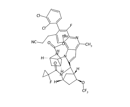 Cc1nc2c(F)c(-c3cccc(Cl)c3Cl)c(CCC#N)cc2c2c1cc([C@H]1[C@H]3C[C@H](C[C@@H]3OC(F)(F)F)N1C(=O)C1(F)CC1)n2[C@H]1[C@@H]2C[C@H]1N(C(=O)OC(C)(C)C)C2